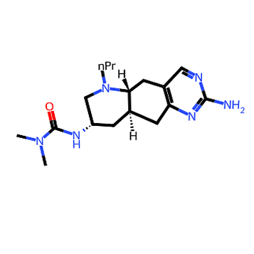 CCCN1C[C@@H](NC(=O)N(C)C)C[C@@H]2Cc3nc(N)ncc3C[C@H]21